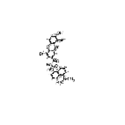 CC(C)c1cc(Oc2c(Br)cc(C(=O)NS(=O)(=O)c3cccc4c(N(C)C)cccc34)cc2Br)ccc1O